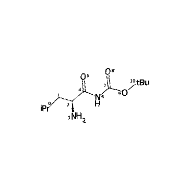 CC(C)C[C@H](N)C(=O)NC(=O)OC(C)(C)C